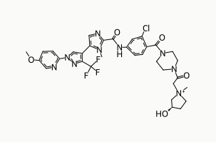 COc1ccc(-n2cc(-c3cnc(C(=O)Nc4ccc(C(=O)N5CCN(C(=O)C[N+]6(C)CC[C@@H](O)C6)CC5)c(Cl)c4)n3C)c(C(F)(F)F)n2)nc1